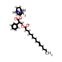 CCCCC=CCCCCCCCC(=O)OCC(C(=O)O[C@H]1C[C@H]2CC[C@@H](C1)N2C)c1ccccc1